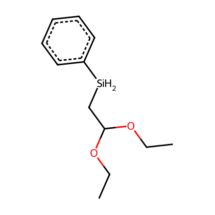 CCOC(C[SiH2]c1ccccc1)OCC